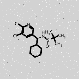 CC(C)(C)[S@@+]([O-])N[C@@H](c1cnc(Cl)c(Cl)c1)C1CCCCC1